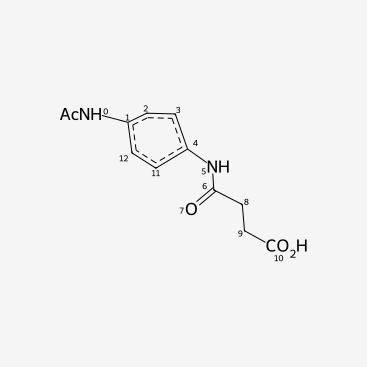 CC(=O)Nc1ccc(NC(=O)CCC(=O)O)cc1